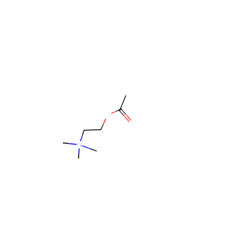 CC(=O)OCC[N+](C)(C)C.[Ca].[Cl-]